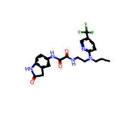 CCCN(CCNC(=O)C(=O)Nc1ccc2c(c1)CC(=O)N2)c1ccc(C(F)(F)F)cn1